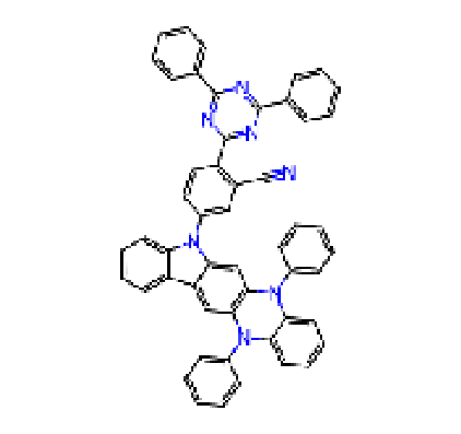 N#Cc1cc(-n2c3ccccc3c3cc4c(cc32)N(c2ccccc2)c2ccccc2N4c2ccccc2)ccc1-c1nc(-c2ccccc2)nc(-c2ccccc2)n1